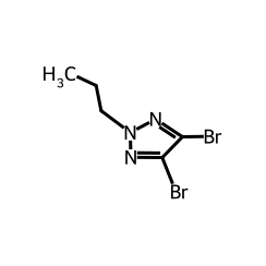 CCCn1nc(Br)c(Br)n1